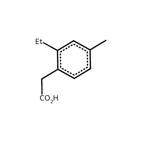 CCc1cc(C)ccc1CC(=O)O